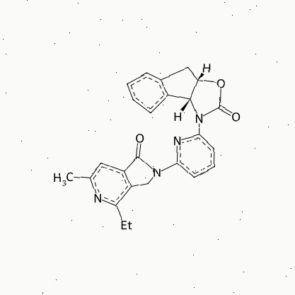 CCc1nc(C)cc2c1CN(c1cccc(N3C(=O)O[C@H]4Cc5ccccc5[C@H]43)n1)C2=O